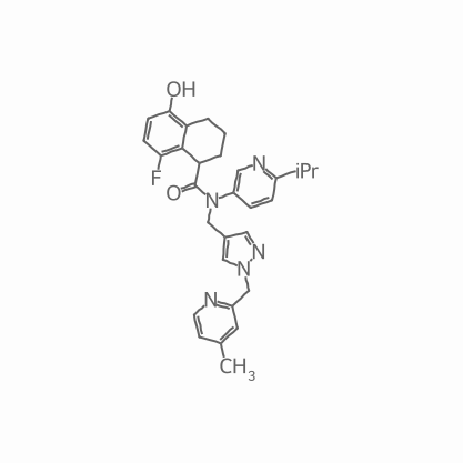 Cc1ccnc(Cn2cc(CN(C(=O)C3CCCc4c(O)ccc(F)c43)c3ccc(C(C)C)nc3)cn2)c1